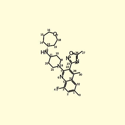 Cc1cc(F)c2nc(N3CCC(N[C@@H]4CCCOCC4)CC3)c(-c3noc(C)n3)c(C)c2c1